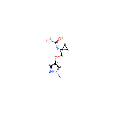 Cn1cc(OCC2(NC(=O)O)CC2)cn1